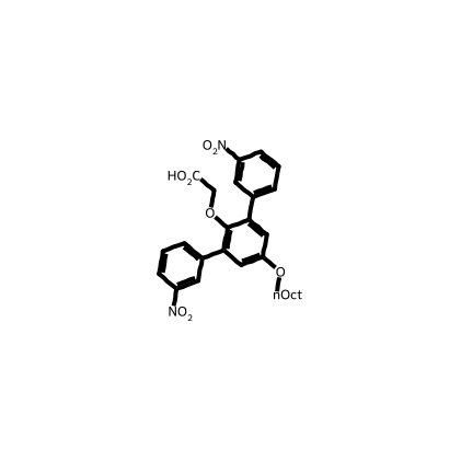 CCCCCCCCOc1cc(-c2cccc([N+](=O)[O-])c2)c(OCC(=O)O)c(-c2cccc([N+](=O)[O-])c2)c1